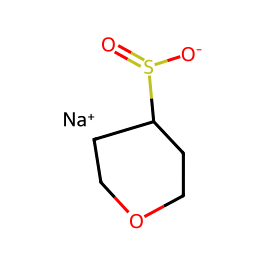 O=S([O-])C1CCOCC1.[Na+]